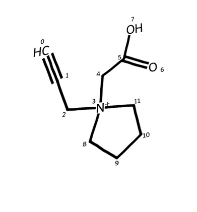 C#CC[N+]1(CC(=O)O)CCCC1